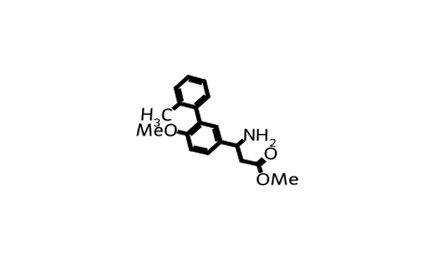 COC(=O)CC(N)c1ccc(OC)c(-c2ccccc2C)c1